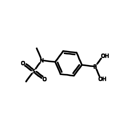 CN(c1ccc(B(O)O)cc1)S(C)(=O)=O